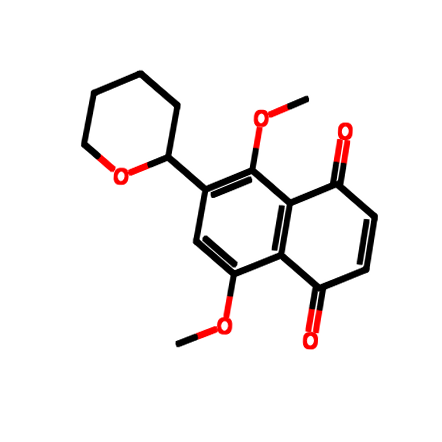 COc1cc(C2CCCCO2)c(OC)c2c1C(=O)C=CC2=O